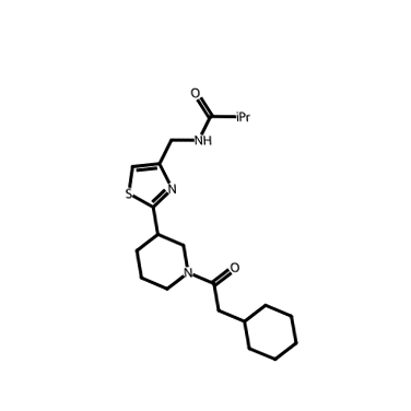 CC(C)C(=O)NCc1csc(C2CCCN(C(=O)CC3CCCCC3)C2)n1